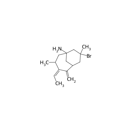 C=C1/C(=C\C)C(C)CC2(N)CC1CC(C)(Br)C2